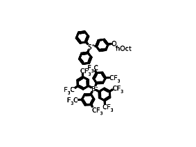 CCCCCCCCOc1ccc([S+](c2ccccc2)c2ccccc2)cc1.FC(F)(F)c1cc([B-](c2cc(C(F)(F)F)cc(C(F)(F)F)c2)(c2cc(C(F)(F)F)cc(C(F)(F)F)c2)c2cc(C(F)(F)F)cc(C(F)(F)F)c2)cc(C(F)(F)F)c1